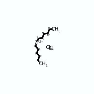 CCCCC[CH2][Zr+2][CH2]CCCCC.[Cl-].[Cl-]